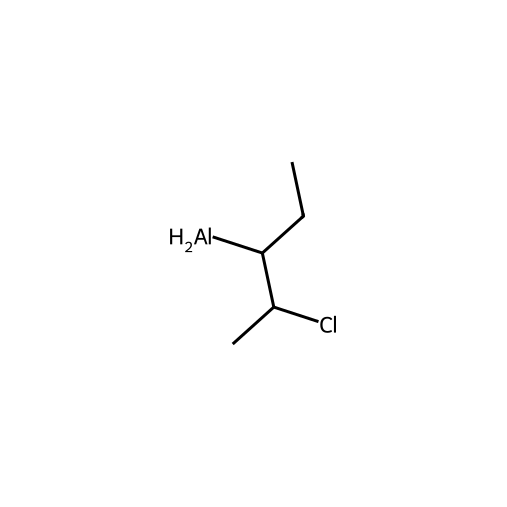 CC[CH]([AlH2])C(C)Cl